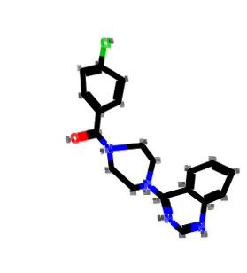 O=C(c1ccc(Cl)cc1)N1CCN(c2ncnc3ccccc23)CC1